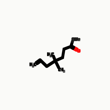 C=CCC(C)(C)CCC(=O)OC